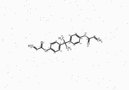 C=CC(=O)Oc1ccc(C(C)(C)c2ccc(OC(=O)C=C)cc2)cc1